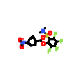 CN(C)S(=O)(=O)c1c(F)c(F)c(F)c(F)c1OCc1ccc([N+](=O)[O-])cc1